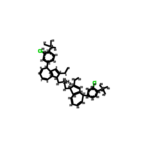 CCC1=CC2=C(C=CC=CC2c2ccc([Si](C)(C)C)c(Cl)c2)C1C[SiH2]CC1C(CC)=CC2=C1C=CC=CC2c1ccc([Si](C)(C)C)c(Cl)c1